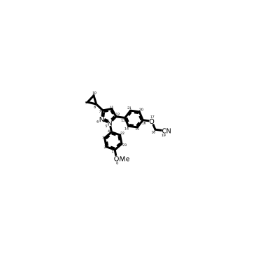 COc1ccc(-n2nc(C3CC3)cc2-c2ccc(OCC#N)cc2)cc1